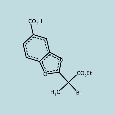 CCOC(=O)C(C)(Br)c1nc2cc(C(=O)O)ccc2o1